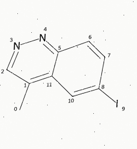 Cc1cnnc2ccc(I)cc12